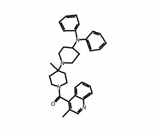 Cc1cnc2ccccc2c1C(=O)N1CCC(C)(N2CCC(N(c3ccccc3)c3ccccc3)CC2)CC1